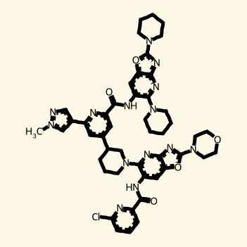 Cn1cc(-c2cc(C3CCCN(c4nc5nc(N6CCOCC6)oc5cc4NC(=O)c4cccc(Cl)n4)C3)cc(C(=O)Nc3cc4oc(N5CCCCC5)nc4nc3N3CCCCC3)n2)cn1